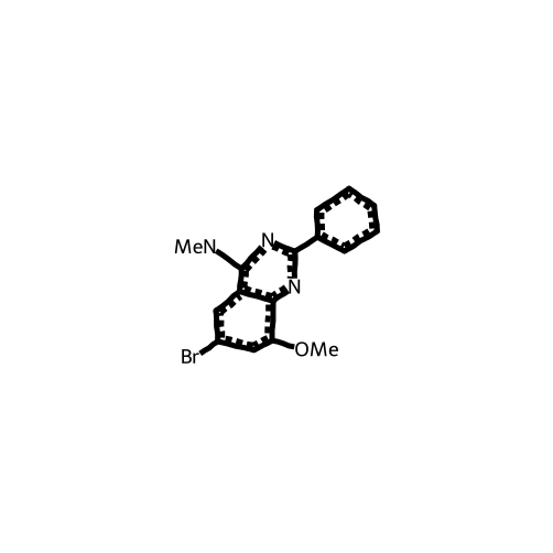 CNc1nc(-c2ccccc2)nc2c(OC)cc(Br)cc12